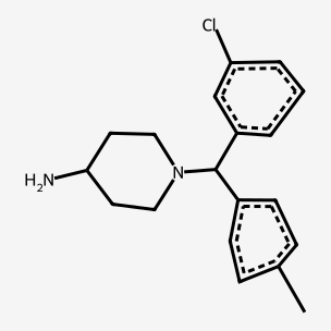 Cc1ccc(C(c2cccc(Cl)c2)N2CCC(N)CC2)cc1